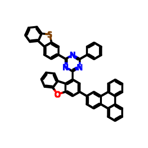 c1ccc(-c2nc(-c3ccc4c(c3)sc3ccccc34)nc(-c3cc(-c4ccc5c6ccccc6c6ccccc6c5c4)cc4oc5ccccc5c34)n2)cc1